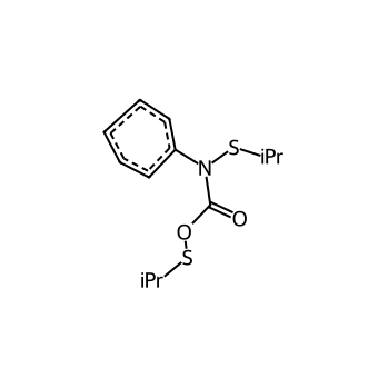 CC(C)SOC(=O)N(SC(C)C)c1ccccc1